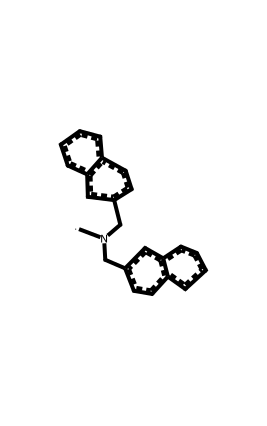 [CH2]N(Cc1ccc2ccccc2c1)Cc1ccc2ccccc2c1